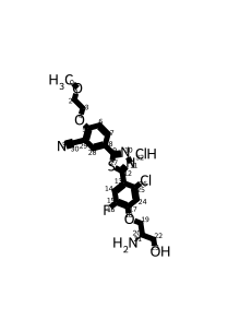 COCCOc1ccc(-c2nnc(-c3cc(F)c(OC[C@@H](N)CO)cc3Cl)s2)cc1C#N.Cl